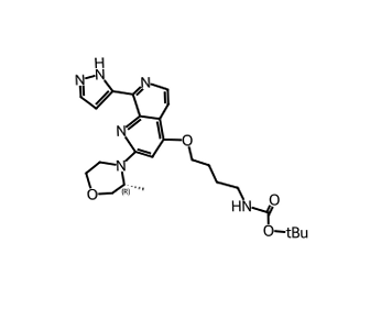 C[C@@H]1COCCN1c1cc(OCCCCNC(=O)OC(C)(C)C)c2ccnc(-c3ccn[nH]3)c2n1